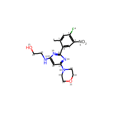 Cc1cc(F)c([N+](=O)[O-])cc1-c1nc(NCCO)cc(N2CCOCC2)n1